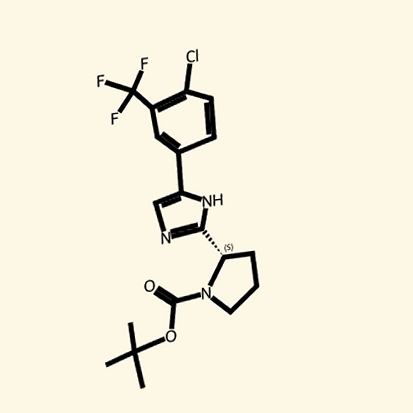 CC(C)(C)OC(=O)N1CCC[C@H]1c1ncc(-c2ccc(Cl)c(C(F)(F)F)c2)[nH]1